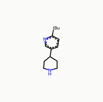 CC(C)(C)c1ccc(C2CCNCC2)cn1